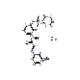 C[N+](C)(Cc1cccc(NC(=O)/C=C/c2cccc(Br)c2)c1)C1CCOCC1.[Cl-]